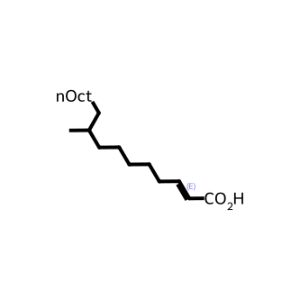 CCCCCCCCCC(C)CCCCC/C=C/C(=O)O